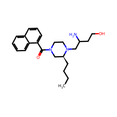 CCCC[C@H]1CN(C(=O)c2cccc3ccccc23)CCN1CC(N)CCO